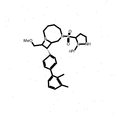 CCCN1NCCC1S(=O)(=O)N1CCCCN2C(COC)[C@@H](c3ccc(-c4cccc(C)c4C)cc3)C2C1